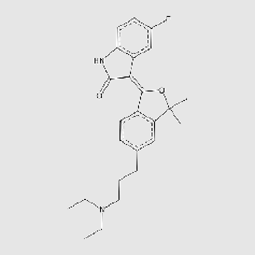 CCN(CC)CCCc1ccc2c(c1)C(C)(C)O/C2=C1/C(=O)Nc2ccc(F)cc21